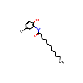 CCCCCCCCCCC(=O)Nc1cc(C)ccc1O